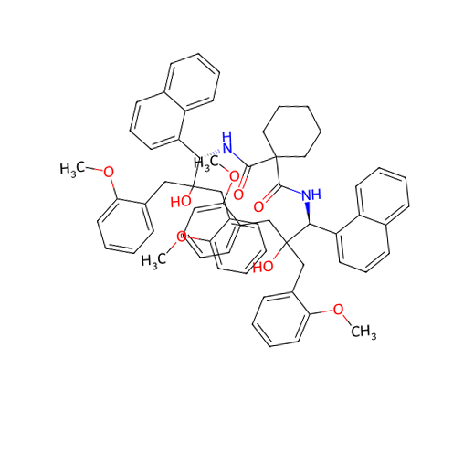 COc1ccccc1CC(O)(Cc1ccccc1OC)[C@@H](NC(=O)C1(C(=O)N[C@@H](c2cccc3ccccc23)C(O)(Cc2ccccc2OC)Cc2ccccc2OC)CCCCC1)c1cccc2ccccc12